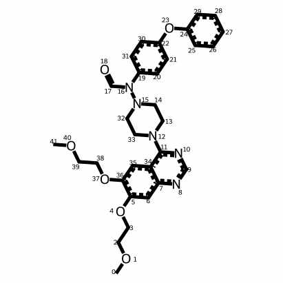 COCCOc1cc2ncnc(N3CCN(N(C=O)c4ccc(Oc5ccccc5)cc4)CC3)c2cc1OCCOC